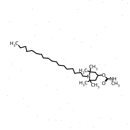 CCCCCCCCCCCCCCCCCCN1C(C)(C)CC(OC(=O)NC)CC1(C)C